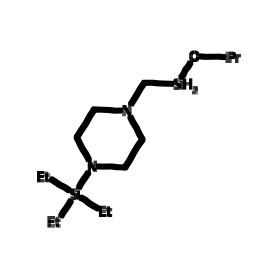 CC[Si](CC)(CC)N1CCN(C[SiH2]OC(C)C)CC1